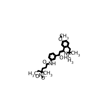 CCC(C)(CCC(=O)Nc1cccc(C(=O)/C=C2\NC(C)(C)Cc3ccc(OC)cc32)c1)[N+](=O)[O-]